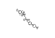 COc1cc(C)c(S(=O)(=O)N(C)CCC(=O)NCc2ccc(N3CCC(N(C)C)CC3)cc2)c(C)c1